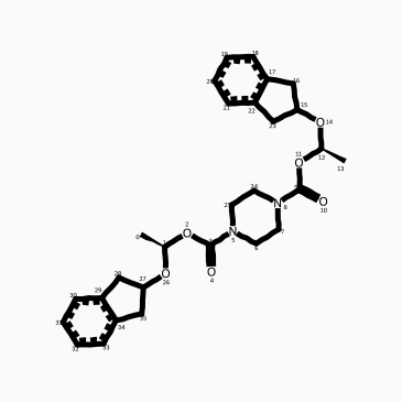 C[C@@H](OC(=O)N1CCN(C(=O)O[C@H](C)OC2Cc3ccccc3C2)CC1)OC1Cc2ccccc2C1